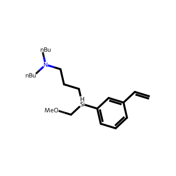 C=Cc1cccc([SiH](CCCN(CCCC)CCCC)COC)c1